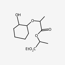 CCOC(=O)C(C)OC(=O)C(C)OC1CCCCC1O